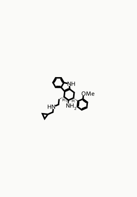 COc1ccccc1[C@H]1Cc2[nH]c3ccccc3c2[C@@H](CCNCC2CC2)[C@@H]1N